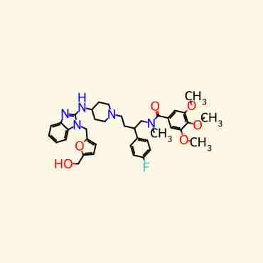 COc1cc(C(=O)N(C)CC(CCN2CCC(Nc3nc4ccccc4n3Cc3ccc(CO)o3)CC2)c2ccc(F)cc2)cc(OC)c1OC